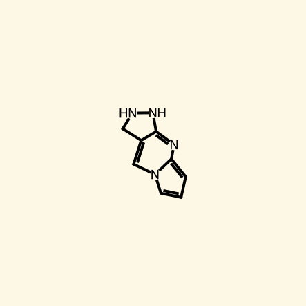 c1cc2nc3c(cn2c1)CNN3